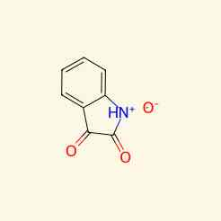 O=C1C(=O)[NH+]([O-])c2ccccc21